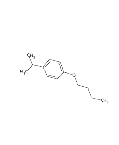 CCCCOc1ccc(C(C)C)cc1